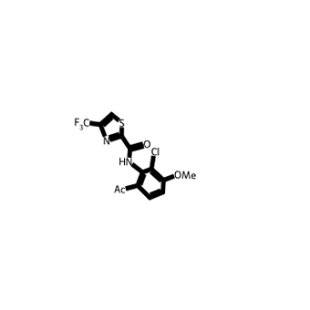 COc1ccc(C(C)=O)c(NC(=O)c2nc(C(F)(F)F)cs2)c1Cl